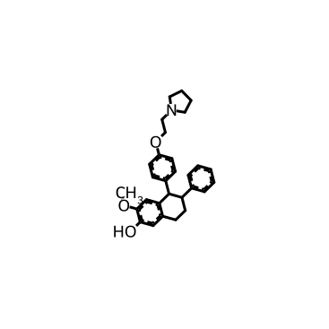 COc1cc2c(cc1O)CCC(c1ccccc1)C2c1ccc(OCCN2CCCC2)cc1